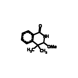 COC1NC(=O)c2ccccc2C1(C)C